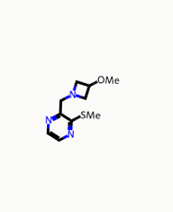 COC1CN(Cc2nccnc2SC)C1